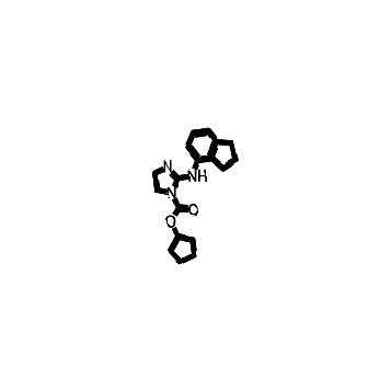 O=C(OC1CCCC1)N1CCN=C1Nc1cccc2c1CCC2